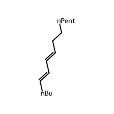 [CH2]CCCCCC/C=C/C=C/CCCC